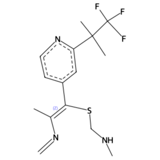 C=N/C(C)=C(\SCNC)c1ccnc(C(C)(C)C(F)(F)F)c1